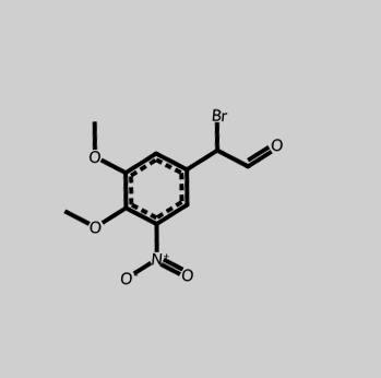 COc1cc(C(Br)C=O)cc([N+](=O)[O-])c1OC